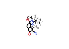 COc1nc(C(C)(C)C)nc2c1CCC1CC(=O)C(C#N)=CC21C